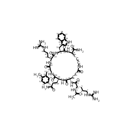 CC(=O)N[C@@H](CCCNC(=N)N)C(=O)N[C@H]1CCC(=O)NCCCC(C(N)=O)NC(=O)[C@H](Cc2c[nH]c3ccccc23)NC(=O)[C@H](CCCNC(=N)N)NC(=O)[C@@H](Cc2ccccc2C)NC(=O)[C@H](CCC(N)=O)NC1=O